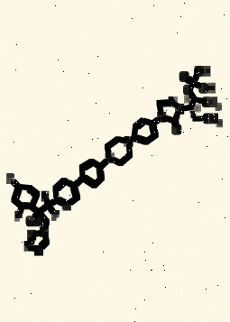 CC[C@@H]([C@H](C)OP(=O)(O)O)n1ncn(-c2ccc(N3CCN(c4ccc(-c5ccc(C(F)(F)C(O)(Cn6cnnn6)c6ccc(F)cc6F)nc5)cc4)CC3)cc2)c1=O